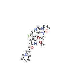 CCOCC1Cn2c(=O)n(C)c3cnc4cc(F)c(-c5ccc(OCCCN6CCCCC6)nc5)c(c4c32)O1